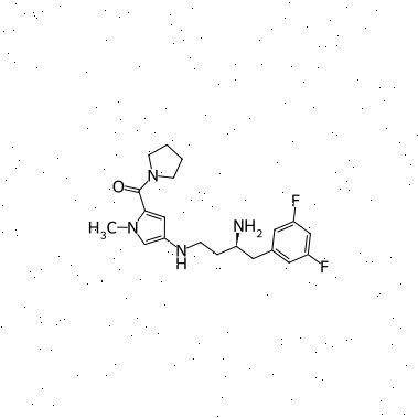 Cn1cc(NCC[C@@H](N)Cc2cc(F)cc(F)c2)cc1C(=O)N1CCCC1